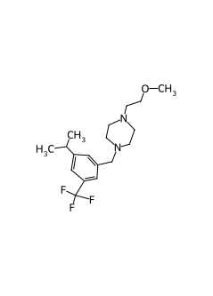 COCCN1CCN(Cc2cc(C(C)C)cc(C(F)(F)F)c2)CC1